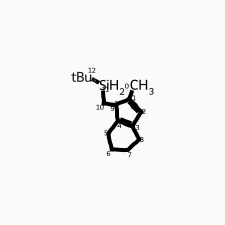 CC1=CC2=C(CCCC2)[C]1C[SiH2]C(C)(C)C